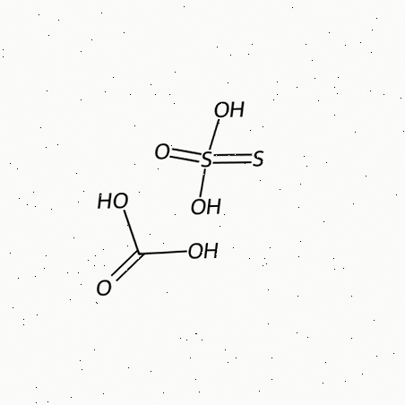 O=C(O)O.O=S(O)(O)=S